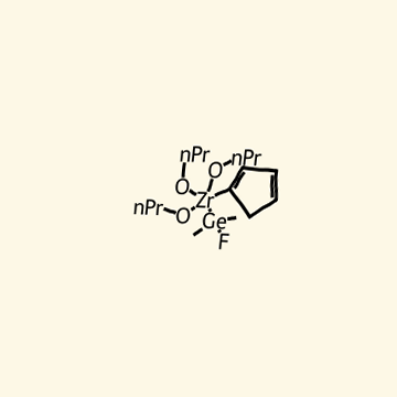 CCC[O][Zr]([O]CCC)([O]CCC)([C]1=CC=CC1)[Ge]([CH3])([CH3])[F]